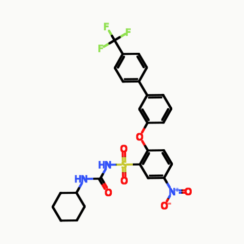 O=C(NC1CCCCC1)NS(=O)(=O)c1cc([N+](=O)[O-])ccc1Oc1cccc(-c2ccc(C(F)(F)F)cc2)c1